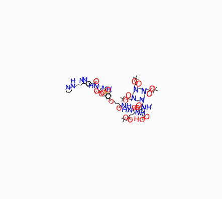 COC(=O)[C@H](CNC(=O)c1ccc2c(CCCNC3=NCCCC3)nn(C)c2c1)NS(=O)(=O)c1c(C)cc(OCCCC(=O)NCCNC(=O)[C@H](CCC(=O)OC(C)(C)C)NC(=O)[C@H](CCC(=O)O)NC(=O)CN2CCN(CC(=O)OC(C)(C)C)CCN(CC(=O)OC(C)(C)C)CCN(CC(=O)OC(C)(C)C)CC2)cc1C